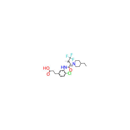 CCC1CCN([C@H](C(=O)Nc2cc(CCC(=O)O)ccc2Cl)[C@H](C)C(F)(F)F)CC1